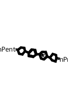 CCCCCC1CCC(c2ccc(C34CCC(C5CCC(CCC)CC5)(CC3)CC4)cc2)CC1